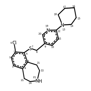 Clc1ccc2c(c1SCc1ccc(N3CCCCC3)nc1)CCNCC2